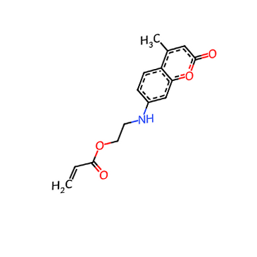 C=CC(=O)OCCNc1ccc2c(C)cc(=O)oc2c1